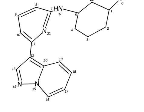 OC1CCCC(Nc2cccc(-c3cnn4ccccc34)n2)C1